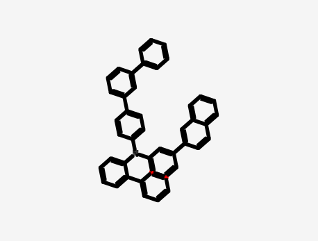 c1ccc(-c2cccc(-c3ccc(N(c4cccc(-c5ccc6ccccc6c5)c4)c4ccccc4-c4ccccc4)cc3)c2)cc1